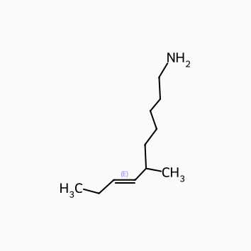 CC/C=C/C(C)CCCCCN